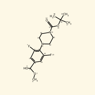 COC(O)c1cc(F)c(N2CCN(C(=O)OC(C)(C)C)CC2)c(F)c1